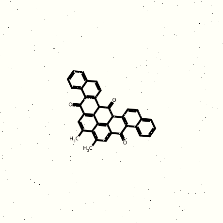 Cc1cc2c3c4c5c(cc(C)c14)C(=O)c1c(ccc4ccccc14)C5C(=O)C3c1ccc3ccccc3c1C2=O